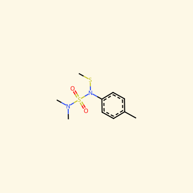 CSN(c1ccc(C)cc1)S(=O)(=O)N(C)C